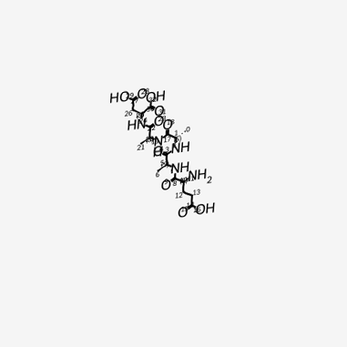 C[C@H](NC(=O)[C@H](C)NC(=O)[C@@H](N)CCC(=O)O)C(=O)N[C@@H](C)C(=O)N[C@@H](CC(=O)O)C(=O)O